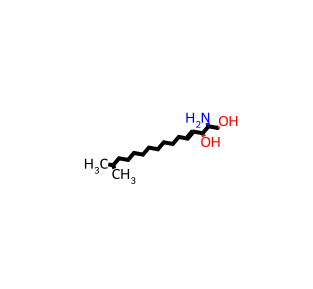 CC(C)CCCCCCCCCC=CC(O)C(N)CO